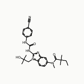 CCC(C)(C)C(=O)N(C)c1ccc2c(c1)nc(NC(=O)Nc1ccc(C#N)cc1)n2CC(C)(C)O